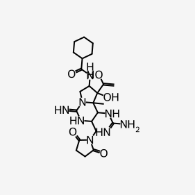 C=C(O)C1(O)C(NC(=O)C2CCCCC2)CN2C(=N)NC(CN3C(=O)CCC3=O)C(NC(=N)N)C21C